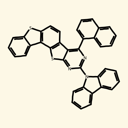 c1ccc2c(-c3nc(-n4c5ccccc5c5ccccc54)nc4sc5c(ccc6sc7ccccc7c65)c34)cccc2c1